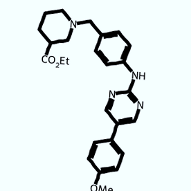 CCOC(=O)C1CCCN(Cc2ccc(Nc3ncc(-c4ccc(OC)cc4)cn3)cc2)C1